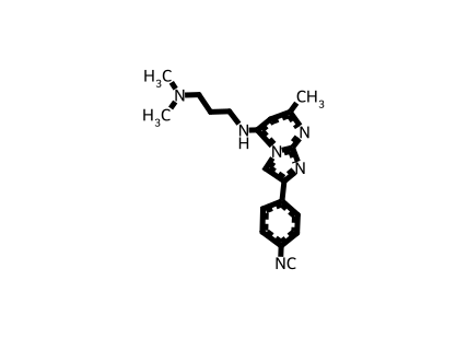 [C-]#[N+]c1ccc(-c2cn3c(NCCCN(C)C)cc(C)nc3n2)cc1